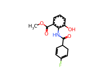 COC(=O)c1cccc(O)c1NC(=O)C1C=CC(F)=CC1